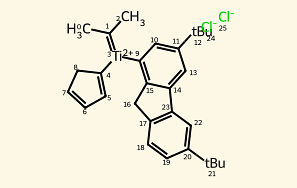 C[C](C)=[Ti+2]([C]1=CC=CC1)[c]1cc(C(C)(C)C)cc2c1Cc1ccc(C(C)(C)C)cc1-2.[Cl-].[Cl-]